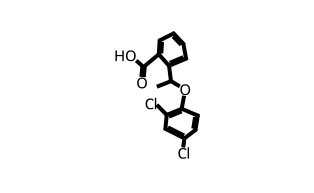 CC(Oc1ccc(Cl)cc1Cl)c1ccccc1C(=O)O